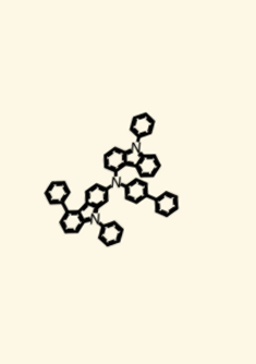 c1ccc(-c2ccc(N(c3ccc4c5c(-c6ccccc6)cccc5n(-c5ccccc5)c4c3)c3cccc4c3c3ccccc3n4-c3ccccc3)cc2)cc1